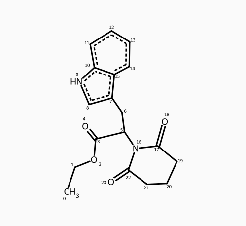 CCOC(=O)C(Cc1c[nH]c2ccccc12)N1C(=O)CCCC1=O